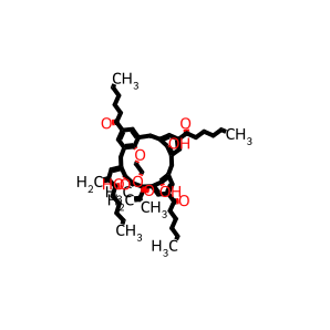 C=C(C)C(=O)OCCOc1c2cc(C(=O)CCCCC)cc1Cc1cc(C(=O)CCCCC)cc(c1O)Cc1cc(C(=O)CCCCC)cc(c1O)CC(C)C(O)/C(=C\C(=C)C(=O)CCCCC)C2